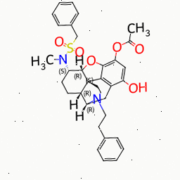 CC(=O)Oc1cc(O)c2c3c1O[C@H]1[C@@H](N(C)S(=O)(=O)Cc4ccccc4)CC[C@H]4[C@@H](C2)N(CCc2ccccc2)CC[C@@]341